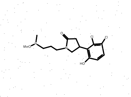 CON(C)CCCN1CC(c2c(O)ccc(Cl)c2Cl)CC1=O